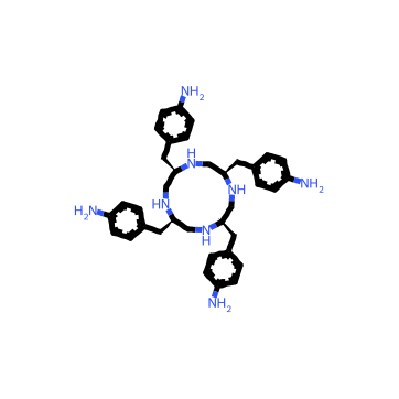 Nc1ccc(C[C@@H]2CN[C@H](Cc3ccc(N)cc3)CN[C@H](Cc3ccc(N)cc3)CN[C@H](Cc3ccc(N)cc3)CN2)cc1